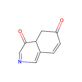 O=C1C=CC2=CN=CC(=O)C2C1